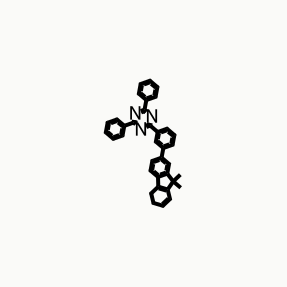 CC1(C)C2=C(CCC=C2)c2ccc(-c3cccc(-c4nc(-c5ccccc5)nc(-c5ccccc5)n4)c3)cc21